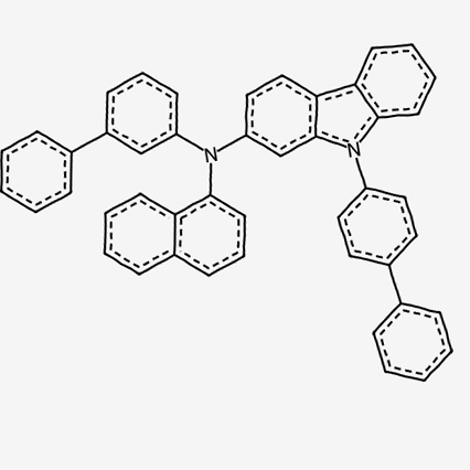 c1ccc(-c2ccc(-n3c4ccccc4c4ccc(N(c5cccc(-c6ccccc6)c5)c5cccc6ccccc56)cc43)cc2)cc1